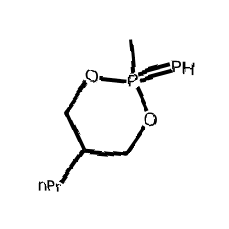 CCCC1COP(C)(=P)OC1